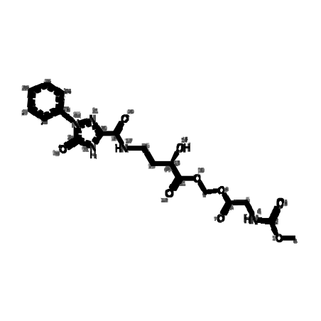 COC(=O)NCC(=O)OCOC(=O)[C@H](O)CCNC(=O)c1nn(-c2ccccc2)c(=O)[nH]1